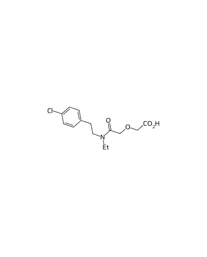 CCN(CCc1ccc(Cl)cc1)C(=O)COCC(=O)O